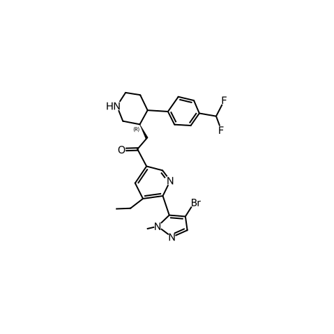 CCc1cc(C(=O)C[C@H]2CNCCC2c2ccc(C(F)F)cc2)cnc1-c1c(Br)cnn1C